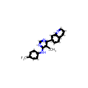 Cc1c(Nc2ccc(C(F)(F)F)cc2)ncnc1-c1ccc2cccnc2c1